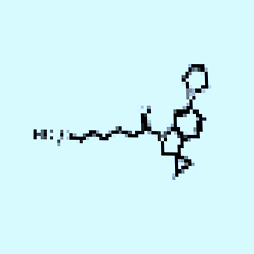 O=C(O)CCCCCC(=O)N1CC2(CC2)c2ccc(N3CCCC3)cc21